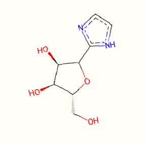 OC[C@H]1OC(c2ncc[nH]2)[C@H](O)[C@@H]1O